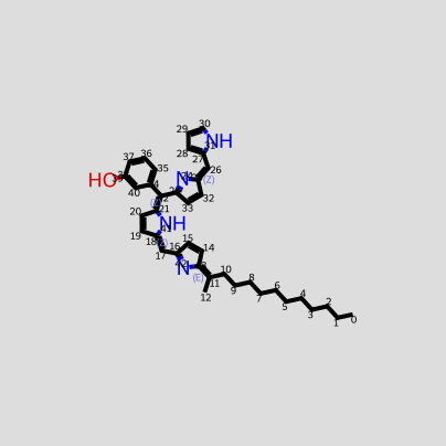 CCCCCCCCCCC/C(C)=C1\C=CC(/C=c2/cc/c(=C(C3=N/C(=C\c4ccc[nH]4)C=C3)\c3cccc(O)c3)[nH]2)=N1